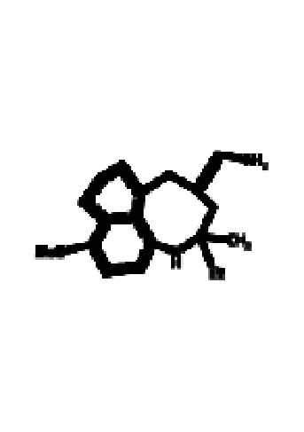 CCC1(C)C/C(=C\N)Cc2cccc3c(OC)ccc(c23)N1